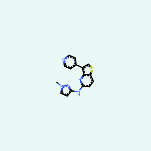 Cn1ccc(Nc2ccc3scc(-c4ccncc4)c3n2)n1